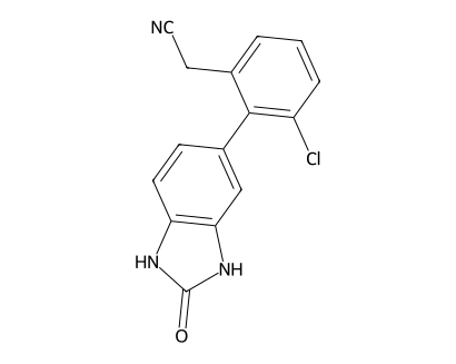 N#CCc1cccc(Cl)c1-c1ccc2[nH]c(=O)[nH]c2c1